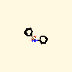 O=S(=O)(NC1=CCCCC1)c1ccccc1